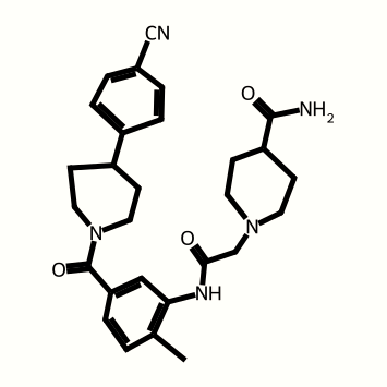 Cc1ccc(C(=O)N2CCC(c3ccc(C#N)cc3)CC2)cc1NC(=O)CN1CCC(C(N)=O)CC1